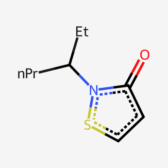 CCCC(CC)n1sccc1=O